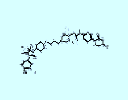 C[C@@H]1CN(CCCO[C@H]2CC[C@H](N3C(=S)N(c4ccc(C#N)c(C(F)(F)F)c4)C(=O)C3(C)C)CC2)C[C@H](C)N1CC(=O)Nc1ccc(C2CCC(=O)NC2=O)cn1